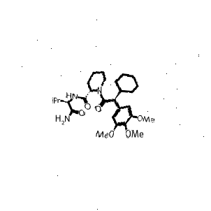 COc1cc([C@@H](C(=O)N2CCCC[C@H]2C(=O)N[C@@H](C(N)=O)C(C)C)C2CCCCC2)cc(OC)c1OC